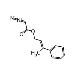 C/C(=C\COC(=O)C=[N+]=[N-])c1ccccc1